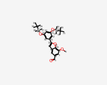 COc1cc(C=O)cc2cc(-c3cc(O[Si](C)(C)C(C)(C)C)cc(O[Si](C)(C)C(C)(C)C)c3)oc12